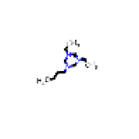 CCCCN1CN(CC)C=[N+](CC)C1